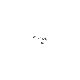 C.[Cr].[Ni].[W]